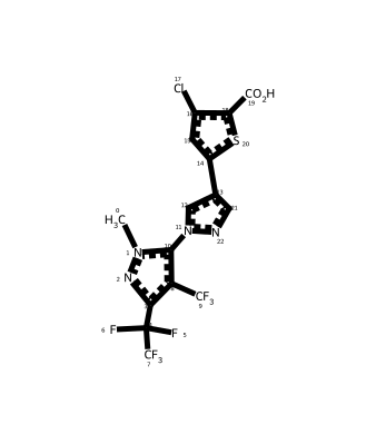 Cn1nc(C(F)(F)C(F)(F)F)c(C(F)(F)F)c1-n1cc(-c2cc(Cl)c(C(=O)O)s2)cn1